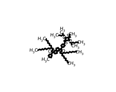 CCCCCCCCCCC(CCCCCCCC)CN1C(=O)C(c2ccc(C)cc2)=c2ccc3c4c(ccc3c21)=C(c1ccc(-c2cc3c(OCC(CC)CCCC)c5sc(C)cc5c(OCC(CC)CCCCC)c3s2)cc1)C(=O)N4CC(CCCCCCCC)CCCCCCCCCC